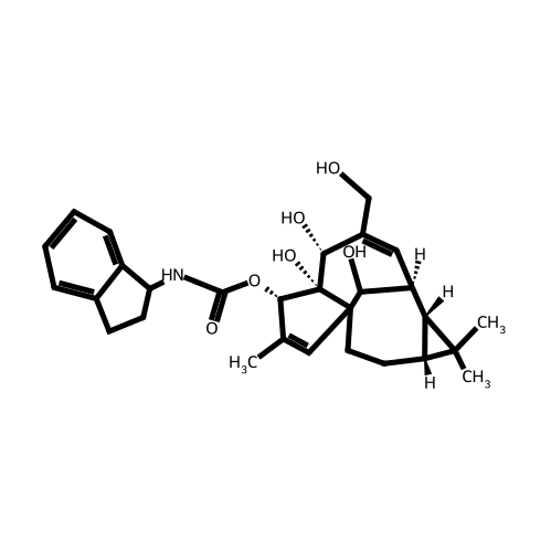 CC1=CC23CC[C@@H]4[C@H]([C@H](C=C(CO)[C@@H](O)[C@]2(O)[C@H]1OC(=O)NC1CCc2ccccc21)C3O)C4(C)C